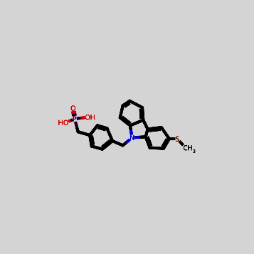 CSc1ccc2c(c1)c1ccccc1n2Cc1ccc(CP(=O)(O)O)cc1